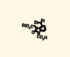 CCOC(=O)Cn1c(=O)n(C(=O)O)c2cccc(C(CC)CC)c21